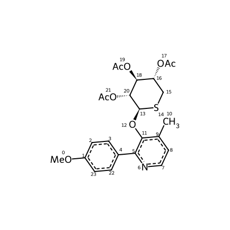 COc1ccc(-c2nccc(C)c2O[C@@H]2SC[C@@H](OC(C)=O)[C@H](OC(C)=O)[C@H]2OC(C)=O)cc1